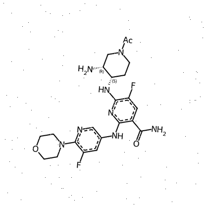 CC(=O)N1CC[C@H](Nc2nc(Nc3cnc(N4CCOCC4)c(F)c3)c(C(N)=O)cc2F)[C@H](N)C1